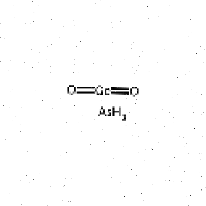 [AsH3].[O]=[Ge]=[O]